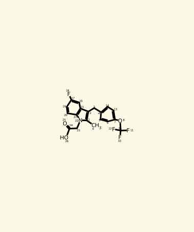 Cc1c(Cc2ccc(OC(F)(F)F)cc2)c2cc(F)ccc2n1CC(=O)O